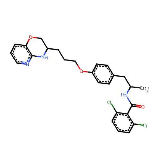 O=C(NC(Cc1ccc(OCCCC2COc3cccnc3N2)cc1)C(=O)O)c1c(Cl)cccc1Cl